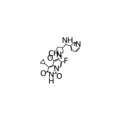 COc1c(N2CCC(C(N)c3cccnc3)C2)c(F)cn2c(=O)[nH]c(=O)c(C3CC3)c12